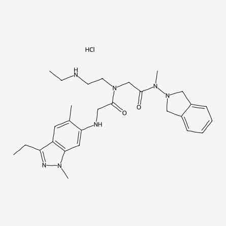 CCNCCN(CC(=O)N(C)N1Cc2ccccc2C1)C(=O)CNc1cc2c(cc1C)c(CC)nn2C.Cl